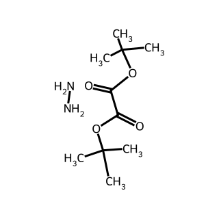 CC(C)(C)OC(=O)C(=O)OC(C)(C)C.NN